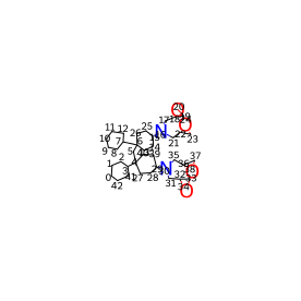 C1CCC(C2(CC3(C4CCCCC4)CCC(N(CC4CO4)CC4CO4)CC3)CCC(N(CC3CO3)CC3CO3)CC2)CC1